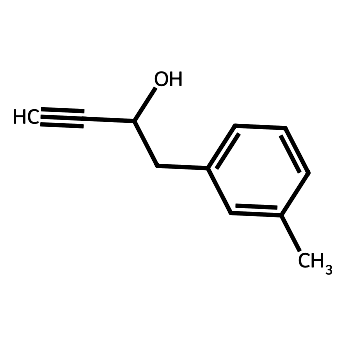 C#CC(O)Cc1cccc(C)c1